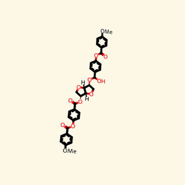 COc1ccc(C(=O)Oc2ccc(C(=O)O[C@@H]3CO[C@H]4[C@@H]3OC[C@@H]4OC(O)c3ccc(OC(=O)c4ccc(OC)cc4)cc3)cc2)cc1